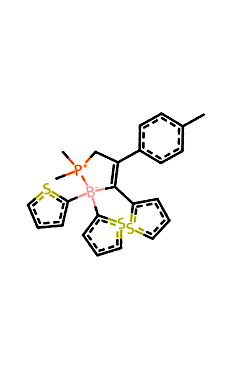 Cc1ccc(C2=C(c3cccs3)[B-](c3cccs3)(c3cccs3)[P+](C)(C)C2)cc1